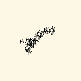 Nc1nc(N2CCN3CC(COc4cc5ccccc5cn4)CCC3C2)nc2nc(-c3ccco3)nn12